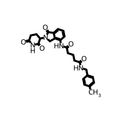 Cc1ccc(CNC(=O)CCCC(=O)Nc2cccc3c2CN(C2CCC(=O)NC2=O)C3=O)cc1